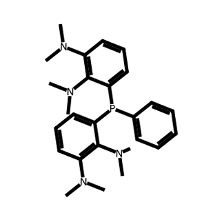 CN(C)c1cccc(P(c2ccccc2)c2cccc(N(C)C)c2N(C)C)c1N(C)C